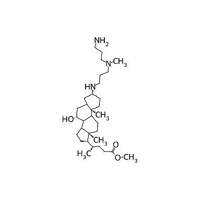 COC(=O)CC[C@@H](C)[C@H]1CCC2C3C(CC[C@@]21C)[C@@]1(C)CC[C@H](NCCCN(C)CCCN)CC1C[C@H]3O